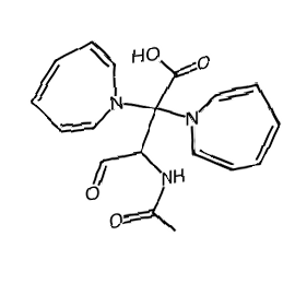 CC(=O)NC(C=O)C(C(=O)O)(N1C=CC=CC=C1)N1C=CC=CC=C1